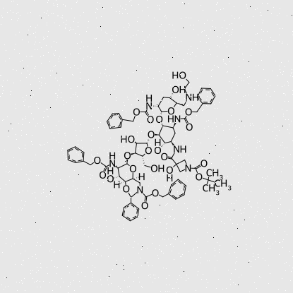 CC(C)(C)OC(=O)N1CC(O)(C(=O)N[C@@H]2C[C@H](NC(=O)OCc3ccccc3)[C@@H](O[C@H]3O[C@H](CNCCO)[C@@H](O)C[C@H]3NC(=O)OCc3ccccc3)[C@H](O[C@@H]3O[C@H](CO)[C@@H](O[C@H]4O[C@H]5CN(C(=O)OCc6ccccc6)C(c6ccccc6)O[C@H]5[C@H](O)[C@H]4NC(=O)OCc4ccccc4)[C@H]3O)[C@H]2O)C1